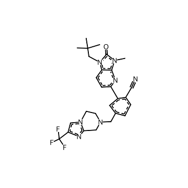 Cn1c(=O)n(CC(C)(C)C)c2ccc(-c3cc(CN4CCn5cc(C(F)(F)F)nc5C4)ccc3C#N)nc21